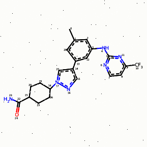 Cc1cc(Nc2nccc(C(F)(F)F)n2)cc(-c2cnn(C3CCC(C(N)=O)CC3)c2)c1